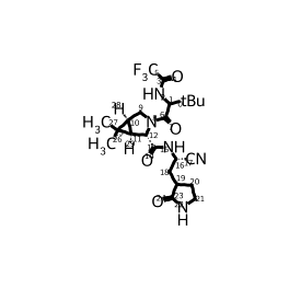 CC(C)(C)C(NC(=O)C(F)(F)F)C(=O)N1C[C@H]2[C@@H]([C@H]1C(=O)N[C@H](C#N)CC1CCNC1=O)C2(C)C